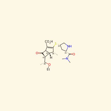 CCO[C@H](C)[C@H]1C(=O)C2C(C(=O)O)=C(S[C@@H]3CN[C@H](C(=O)N(C)C)C3)[C@H](C)[C@@H]21